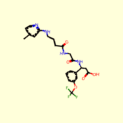 Cc1ccnc(NCCCC(=O)NCC(=O)NC(CC(=O)O)c2cccc(OC(F)(F)F)c2)c1